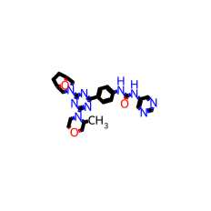 CC1COCCN1c1nc(-c2ccc(NC(=O)Nc3cncnc3)cc2)nc(N2CC3CCC(C2)O3)n1